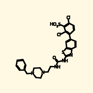 O=C(NCCN1CCN(Cc2ccccc2)CC1)Nc1nc2ccc(-c3ccc(Cl)c(S(=O)(=O)O)c3Cl)cc2s1